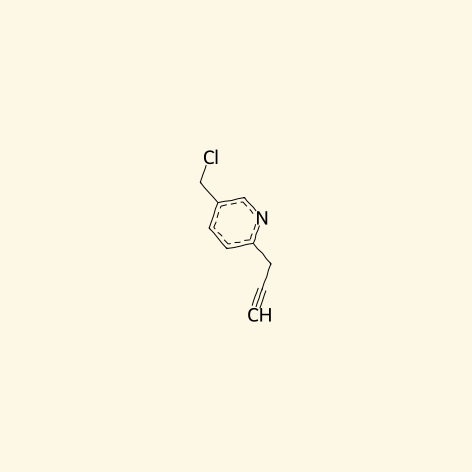 C#CCc1ccc(CCl)cn1